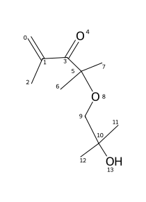 C=C(C)C(=O)C(C)(C)OCC(C)(C)O